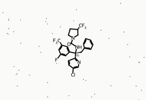 O=C(N[C@@](Cc1ccccc1)(c1cc(F)cc(C(F)(F)F)c1)c1ccc(Cl)cn1)N1CCC(C(F)(F)F)C1